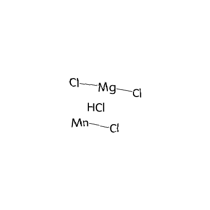 Cl.[Cl][Mg][Cl].[Cl][Mn]